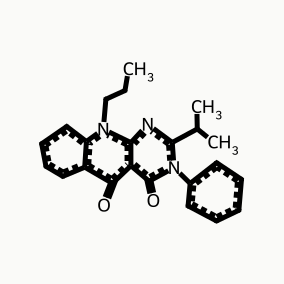 CCCn1c2ccccc2c(=O)c2c(=O)n(-c3ccccc3)c(C(C)C)nc21